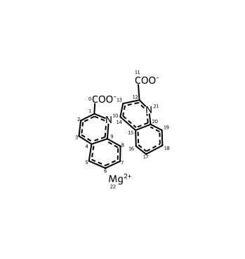 O=C([O-])c1ccc2ccccc2n1.O=C([O-])c1ccc2ccccc2n1.[Mg+2]